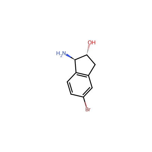 N[C@@H]1c2ccc(Br)cc2C[C@H]1O